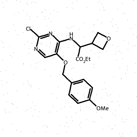 CCOC(=O)C(Nc1nc(Cl)ncc1OCc1ccc(OC)cc1)C1COC1